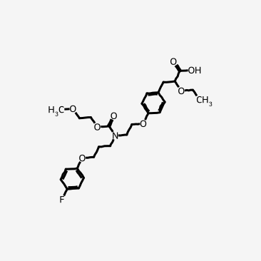 CCOC(Cc1ccc(OCCN(CCCOc2ccc(F)cc2)C(=O)OCCOC)cc1)C(=O)O